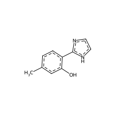 Cc1ccc(-c2ncc[nH]2)c(O)c1